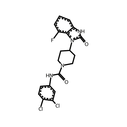 O=C(Nc1ccc(Cl)c(Cl)c1)N1CCC(n2c(=O)[nH]c3cccc(F)c32)CC1